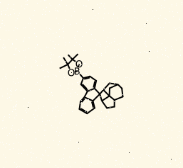 CC1(C)OB(c2ccc3c(c2)-c2ccccc2C32C3CCC4CCC5CC2C43C5)OC1(C)C